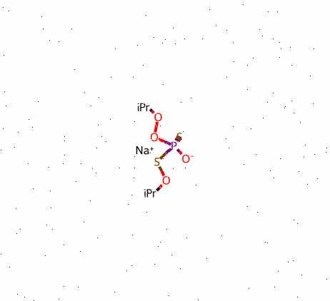 CC(C)OOP([O-])(=S)SOC(C)C.[Na+]